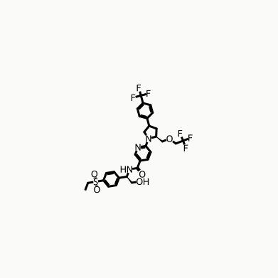 CCS(=O)(=O)c1ccc([C@H](CO)NC(=O)c2ccc(N3CC(c4ccc(C(F)(F)F)cc4)C[C@H]3COCC(F)(F)F)nc2)cc1